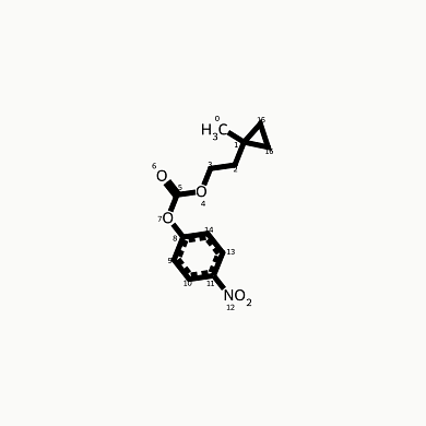 CC1(CCOC(=O)Oc2ccc([N+](=O)[O-])cc2)CC1